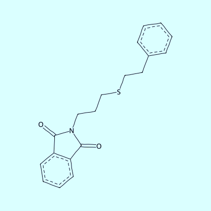 O=C1c2ccccc2C(=O)N1CCCSCCc1ccccc1